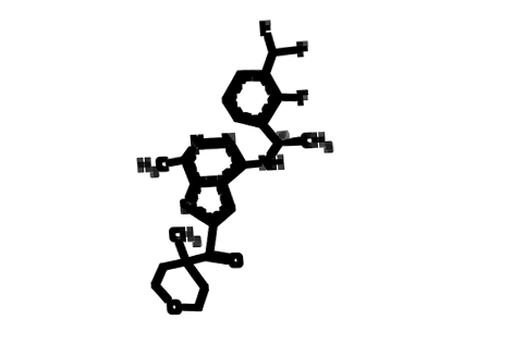 Cc1nnc(N[C@H](C)c2cccc(C(F)F)c2F)c2cc(C(=O)C3(C)CCOCC3)sc12